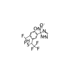 O=[N+]([O-])C1(c2ccc(C(F)F)c(C(S)C(F)(F)F)c2)N=CN=N1